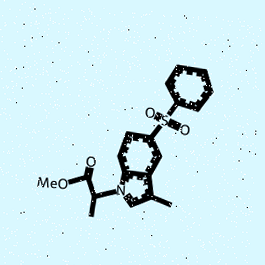 COC(=O)C(C)n1cc(C)c2cc(S(=O)(=O)c3ccccc3)ccc21